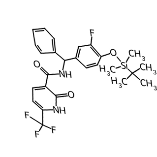 CC(C)(C)[Si](C)(C)Oc1ccc(C(NC(=O)c2ccc(C(F)(F)F)[nH]c2=O)c2ccccc2)cc1F